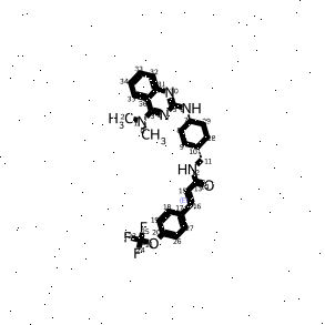 CN(C)c1nc(N[C@H]2CC[C@@H](CNC(=O)/C=C/c3ccc(OC(F)(F)F)cc3)CC2)nc2ccccc12